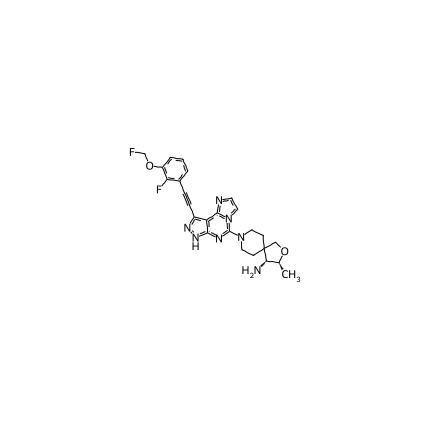 C[C@@H]1OCC2(CCN(c3nc4[nH]nc(C#Cc5cccc(OCF)c5F)c4c4nccn34)CC2)[C@@H]1N